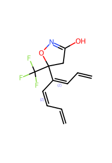 C=C/C=C\C(=C\C=C)C1(C(F)(F)F)CC(O)=NO1